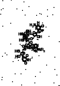 COC[C@H]1[C@@H](O)[C@H](n2c[n+](C)c3c(=O)[nH]c(N)nc32)O[C@@H]1COP(=O)(O)OP(=O)(O)OP(=O)(O)SC[C@H]1O[C@@H](n2cnc3c(N)ncnc32)[C@H](OC)[C@@H]1OP(=O)(O)OC[C@H]1O[C@@H](n2ccc(=O)[nH]c2=O)[C@H](O)[C@@H]1O